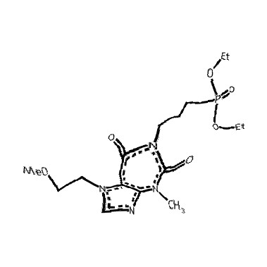 CCOP(=O)(CCCn1c(=O)c2c(ncn2CCOC)n(C)c1=O)OCC